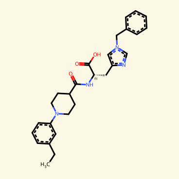 CCc1cccc(N2CCC(C(=O)N[C@@H](Cc3cn(Cc4ccccc4)cn3)C(=O)O)CC2)c1